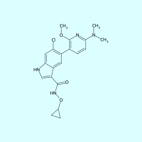 COc1nc(N(C)C)ccc1-c1cc2c(C(=O)NOC3CC3)c[nH]c2cc1Cl